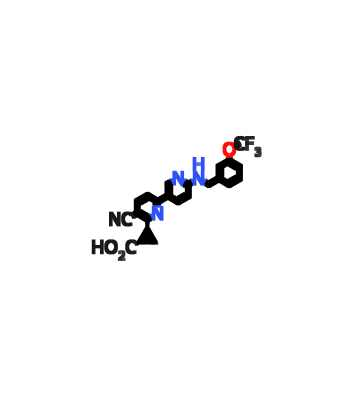 N#Cc1ccc(-c2ccc(NCc3cccc(OC(F)(F)F)c3)nc2)nc1[C@H]1C[C@@H]1C(=O)O